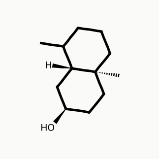 CC1CCC[C@@]2(C)CC[C@@H](O)C[C@H]12